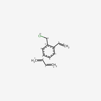 C=CC=C.C=Cc1ccccc1CCl